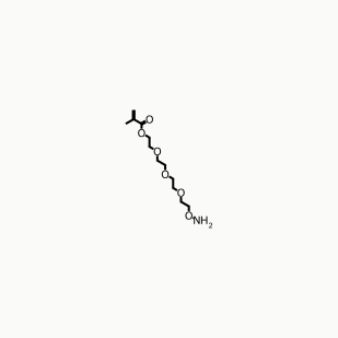 C=C(C)C(=O)OCCOCCOCCOCCON